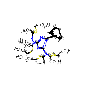 O=C(O)CSC(C(=O)O)N(c1nc(-c2ccccc2)nc(N(C(SCC(=O)O)C(=O)O)C(SCC(=O)O)C(=O)O)n1)C(SCC(=O)O)C(=O)O